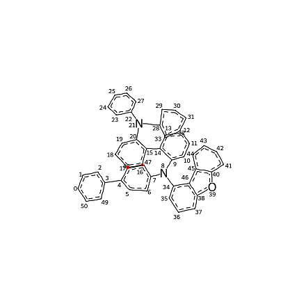 c1ccc(-c2ccc(N(c3ccccc3-c3ccccc3N(c3ccccc3)c3ccccc3)c3cccc4oc5ccccc5c34)cc2)cc1